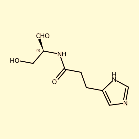 O=C[C@H](CO)NC(=O)CCc1cnc[nH]1